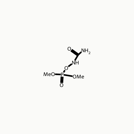 COP(=O)(OC)ONC(N)=O